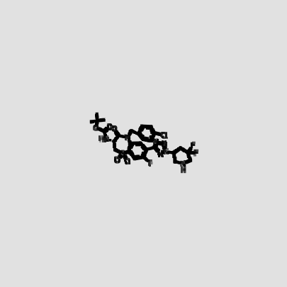 CC(C)(C)OC(=O)N[C@H]1CS(=O)(=O)c2cc(F)c(-c3nnn(C4CNCC(F)(F)C4)n3)cc2N(Cc2ccc(Cl)cc2)C1=O